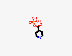 O=C(OP(=O)(O)O)c1ccncc1